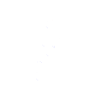 C=CC(=O)Nc1ccc(C)c(Nc2ncc(Cl)c(Nc3ccccc3C(=O)NC)n2)c1